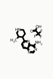 CC1CNCCC1c1ccc2ncnc(N)c2n1.O=C(O)C(F)(F)F